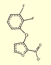 O=[N+]([O-])c1o[c]cc1Oc1cccc(F)c1F